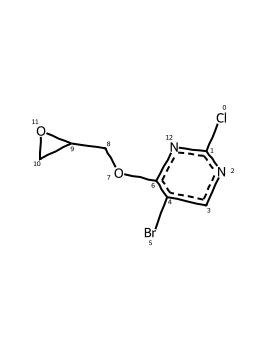 Clc1ncc(Br)c(OCC2CO2)n1